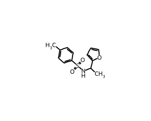 Cc1ccc(S(=O)(=O)NC(C)c2ccco2)cc1